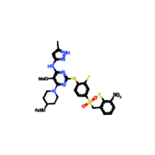 COc1c(Nc2cc(C)[nH]n2)nc(Sc2ccc(S(=O)(=O)Cc3cccc([N+](=O)[O-])c3F)cc2F)nc1N1CCC(NC(C)=O)CC1